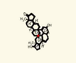 C[C@]12C(C34CC[C@@H]5[C@@H](CC[C@]6(C)C(=O)CC[C@@H]56)[C@@]3(C)CCC(O)C4)=CC(O)CC1CC[C@@H]1[C@H]2CC[C@]2(C)C(O)CC[C@@H]12